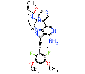 C=CC(=O)N1CC[C@H](n2nc(C#Cc3c(F)c(OC)cc(OC)c3F)c3c(N)ncc(-c4cnccn4)c32)C1